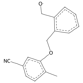 Cc1ccc(C#N)cc1OCc1ccccc1C[O]